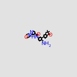 CC1(C)Cc2cc(-c3cc(NC(=O)c4ccnc(N5CCOCC5)c4)ccc3CN)ccc2C1=O